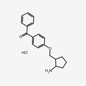 Cl.NC1CCCC1COc1ccc(C(=O)c2ccccc2)cc1